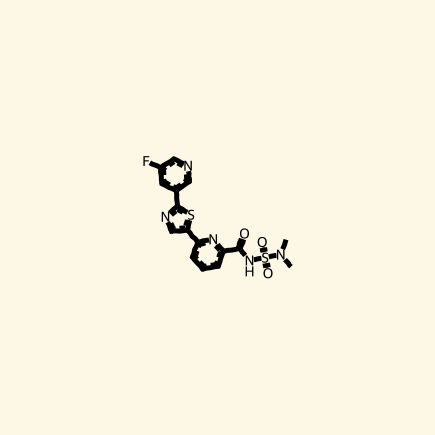 CN(C)S(=O)(=O)NC(=O)c1cccc(-c2cnc(-c3cncc(F)c3)s2)n1